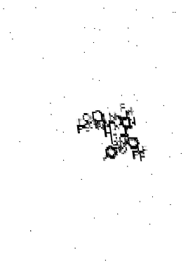 Cc1ccc(S(=O)(=O)n2cc(-c3cnc(C(F)F)c4cnc(N[C@@H]5CCCC[C@]5(N)OC(=O)C(F)(F)F)nc34)c3ccc(C(F)(F)F)cc32)cc1